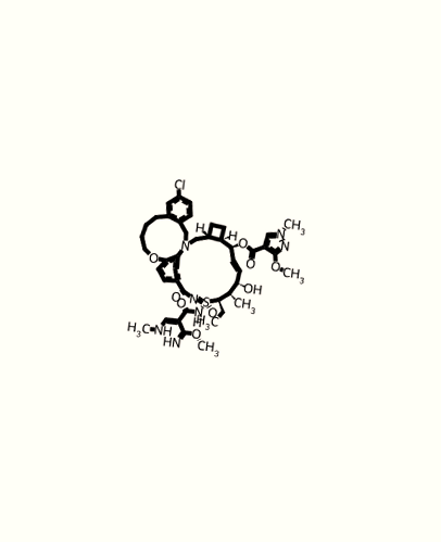 CC[C@@H]1[C@@H](C)[C@@H](O)/C=C/[C@H](OC(=O)c2cn(C)nc2OC)[C@@H]2CC[C@H]2CN2Cc3ccc(Cl)cc3CCCCOc3ccc(cc32)C(=O)N=S1(=O)NC(=O)/C(=C/NC)C(=N)OC